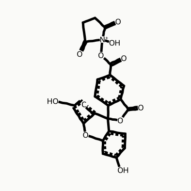 O=C(O[N+]1(O)C(=O)CCC1=O)c1ccc2c(c1)C(=O)OC21c2ccc(O)cc2Oc2cc(O)ccc21